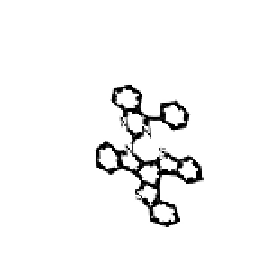 c1ccc(-c2nc(-n3c4ccccc4c4c5sc6ccccc6c5c5c6ccccc6sc5c43)nc3ccccc23)cc1